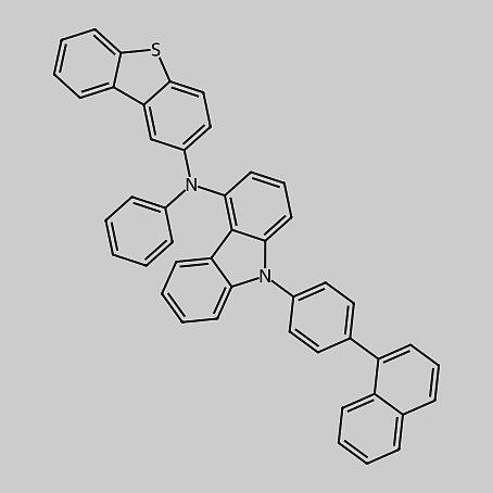 c1ccc(N(c2ccc3sc4ccccc4c3c2)c2cccc3c2c2ccccc2n3-c2ccc(-c3cccc4ccccc34)cc2)cc1